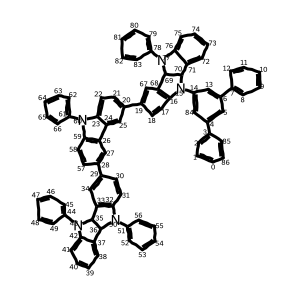 c1ccc(-c2cc(-c3ccccc3)cc(N3c4ccc(-c5ccc6c(c5)c5cc(-c7ccc8c(c7)C7C(c9ccccc9N7c7ccccc7)N8c7ccccc7)ccc5n6-c5ccccc5)cc4C4C3c3ccccc3N4c3ccccc3)c2)cc1